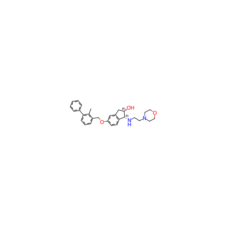 Cc1c(COc2ccc3c(c2)C[C@@H](O)[C@@H]3NCCN2CCOCC2)cccc1-c1ccccc1